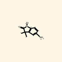 CCN1C(=O)C(C)(C)c2cc(N)ccc21